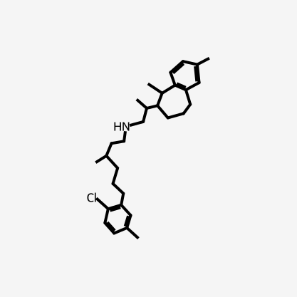 Cc1ccc(Cl)c(CCCC(C)CCNCC(C)C2CCCc3cc(C)ccc3C2C)c1